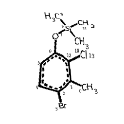 Cc1c(Br)ccc(O[Si](C)(C)C)c1Cl